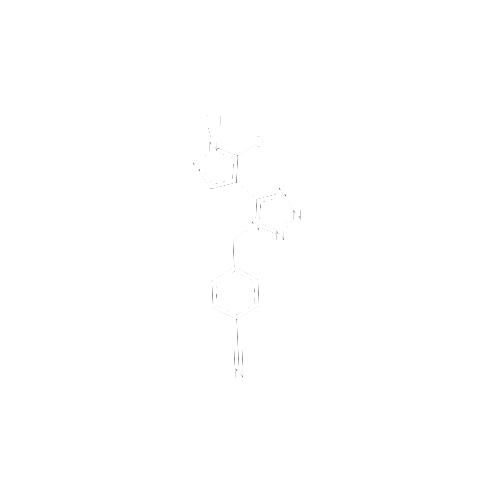 Cn1ncc(-c2nnnn2Cc2ccc(C#N)cc2)c1Br